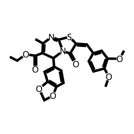 CCOC(=O)C1=C(C)N=c2s/c(=C/c3ccc(OC)c(OC)c3)c(=O)n2C1c1ccc2c(c1)OCO2